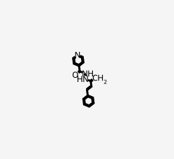 C=C(C=Cc1ccccc1)NNC(=O)c1ccncc1